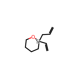 C=CC[Si]1(C=C)CCCCO1